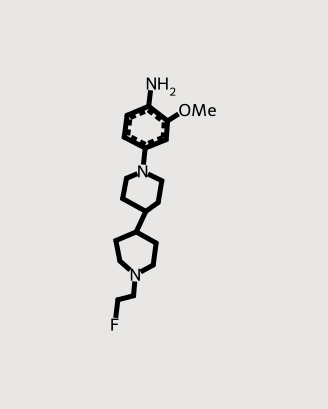 COc1cc(N2CCC(C3CCN(CCF)CC3)CC2)ccc1N